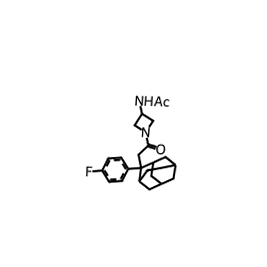 CC(=O)NC1CN(C(=O)CC2(c3ccc(F)cc3)C3CC4CC(C3)CC2C4)C1